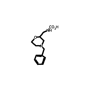 O=C(O)NCC1CN(Cc2ccccc2)CCO1